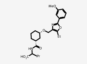 CCc1oc(-c2cccc(OC)c2)nc1CO[C@H]1CCC[C@@H](C(=O)NC(C(=O)O)C(C)C)C1